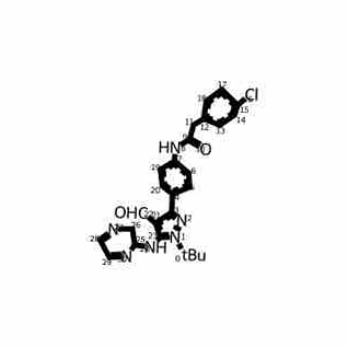 CC(C)(C)n1nc(-c2ccc(NC(=O)Cc3ccc(Cl)cc3)cc2)c(C=O)c1NC1CN=CC=N1